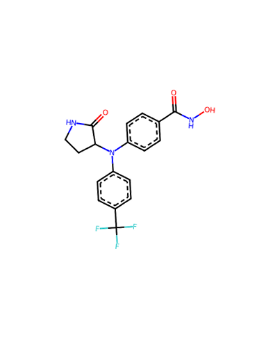 O=C(NO)c1ccc(N(c2ccc(C(F)(F)F)cc2)C2CCNC2=O)cc1